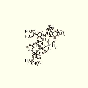 CCN(CC)c1ccc(/N=N/c2sc3c(c2S(=O)(=O)O)CC(C)(C)CC3=O)c(Nc2nc(Nc3cc(N(CC)CC)ccc3/N=N/c3sc4c(c3S(=O)(=O)O)CC(C)(C)CC4=O)nc(SC3CCCCC3)n2)c1